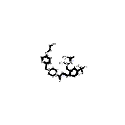 C/C(N)=N/N(N)Cc1cc(C(F)(F)F)ccc1/C=C/C(=O)N1CCN(Cc2ccc(OCCF)cn2)CC1